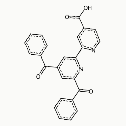 O=C(O)c1ccnc(-c2cc(C(=O)c3ccccc3)cc(C(=O)c3ccccc3)n2)c1